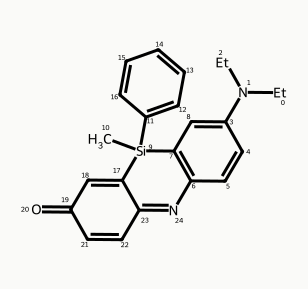 CCN(CC)c1ccc2c(c1)[Si](C)(c1ccccc1)C1=CC(=O)C=CC1=N2